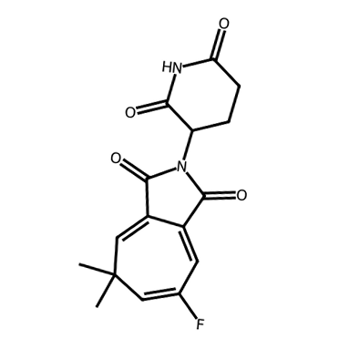 CC1(C)C=C(F)C=C2C(=O)N(C3CCC(=O)NC3=O)C(=O)C2=C1